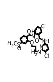 C[S+]([O-])c1ccc(C(=O)Nc2ccc(Cl)cc2C(=O)Nc2ccc(Cl)cn2)c(OCCCN)c1